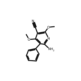 COc1nc(N)c(-c2ccccc2)c(OC)c1C#N